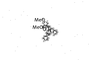 COC(=O)c1cc(OC)ccc1NCC(Cc1ccccc1)N1CCN(c2ccccc2)CC1